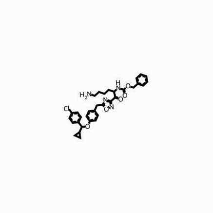 NCCCCC(NC(=O)OCc1ccccc1)C(=O)c1noc(Cc2ccc(OC(c3ccc(Cl)cc3)C3CC3)cc2)n1